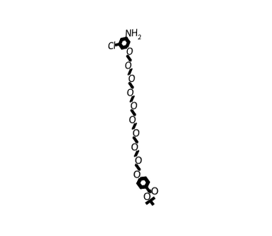 CC(C)(C)OC(=O)c1ccc(OCCOCCOCCOCCOCCOCCOCCOCCOCCOc2cc(N)cc(Cl)c2)cc1